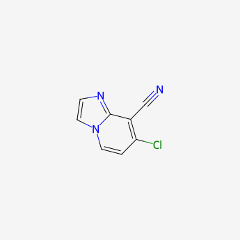 N#Cc1c(Cl)ccn2ccnc12